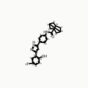 O=C(Nc1ccc(-c2cc(-c3cc(F)ccc3O)n[nH]2)cc1)C12CC3CC1CC3C2